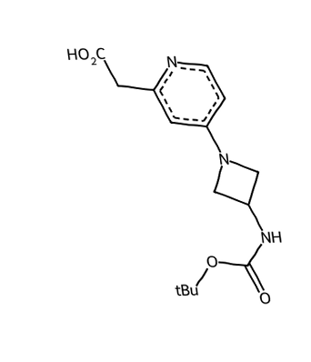 CC(C)(C)OC(=O)NC1CN(c2ccnc(CC(=O)O)c2)C1